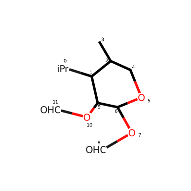 CC(C)C1C(C)COC(OC=O)C1OC=O